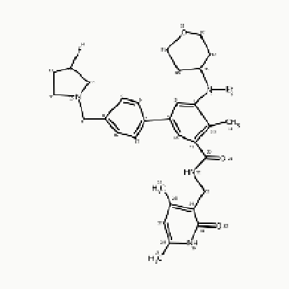 CCN(c1cc(-c2ccc(CN3CCC(F)C3)cc2)cc(C(=O)NCc2c(C)cc(C)[nH]c2=O)c1C)C1CCOCC1